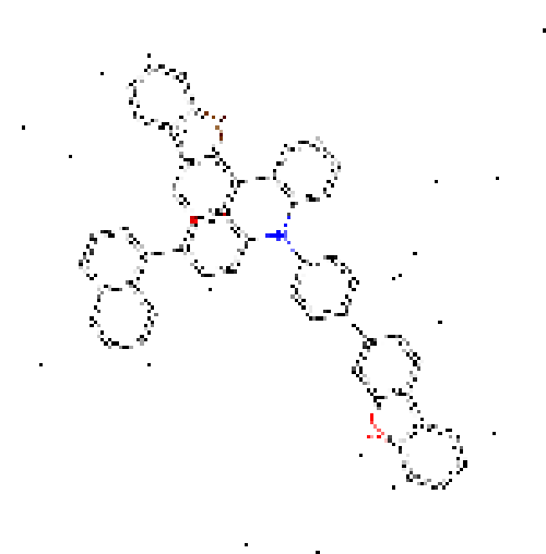 c1ccc(N(c2ccc(-c3ccc4c(c3)oc3ccccc34)cc2)c2ccc(-c3cccc4ccccc34)cc2)c(-c2cccc3c2sc2ccccc23)c1